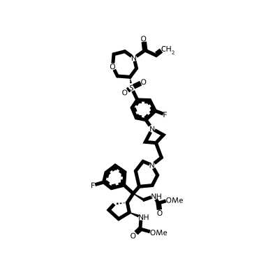 C=CC(=O)N1CCOC[C@@H](S(=O)(=O)c2ccc(N3CC(CN4CCC([C@@](CNC(=O)OC)(c5cccc(F)c5)[C@H]5CCC[C@@H]5NC(=O)OC)CC4)C3)c(F)c2)C1